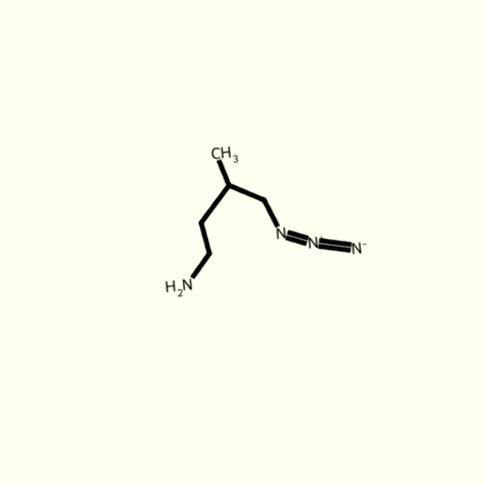 CC(CCN)CN=[N+]=[N-]